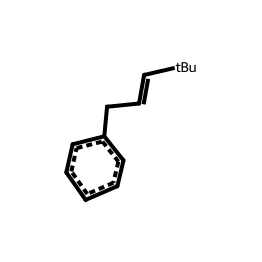 CC(C)(C)C=CCc1ccccc1